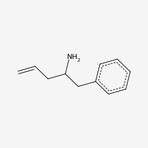 C=CCC(N)Cc1[c]cccc1